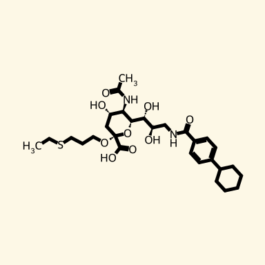 CCSCCCO[C@]1(C(=O)O)C[C@H](O)[C@@H](NC(C)=O)[C@H]([C@H](O)[C@H](O)CNC(=O)c2ccc(C3CCCCC3)cc2)O1